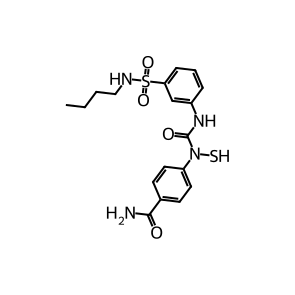 CCCCNS(=O)(=O)c1cccc(NC(=O)N(S)c2ccc(C(N)=O)cc2)c1